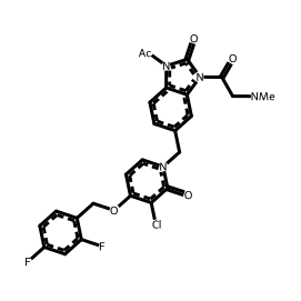 CNCC(=O)n1c(=O)n(C(C)=O)c2ccc(Cn3ccc(OCc4ccc(F)cc4F)c(Cl)c3=O)cc21